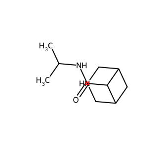 CC(C)NC(=O)C1C2CNCC1C2